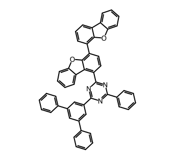 c1ccc(-c2cc(-c3ccccc3)cc(-c3nc(-c4ccccc4)nc(-c4ccc(-c5cccc6c5oc5ccccc56)c5oc6ccccc6c45)n3)c2)cc1